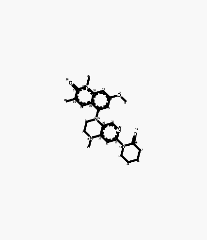 COc1cc(N2CCN(C)c3cc(N4CCCCC4=O)ncc32)c2cc(C)c(=O)n(C)c2c1